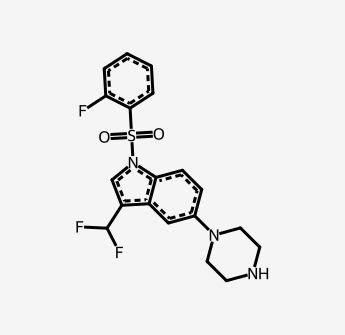 O=S(=O)(c1ccccc1F)n1cc(C(F)F)c2cc(N3CCNCC3)ccc21